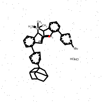 CC1=Cc2c(-c3ccc(C45CC6CC(CC(C6)C4)C5)cc3)cccc2[CH]1[Zr]([CH3])([CH3])(=[SiH2])[CH]1C(C(C)C)=Cc2c(-c3ccc(C(C)(C)C)cc3)cccc21.Cl.Cl